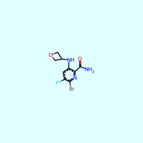 NC(=O)c1nc(Br)c(F)cc1NC1COC1